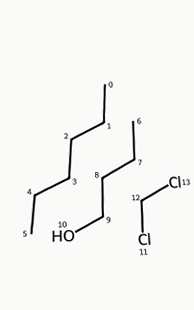 CCCCCC.CCCCO.ClCCl